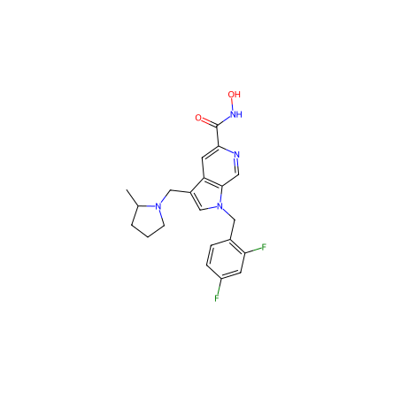 CC1CCCN1Cc1cn(Cc2ccc(F)cc2F)c2cnc(C(=O)NO)cc12